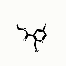 CCOC(=O)c1cc(I)cnc1CBr